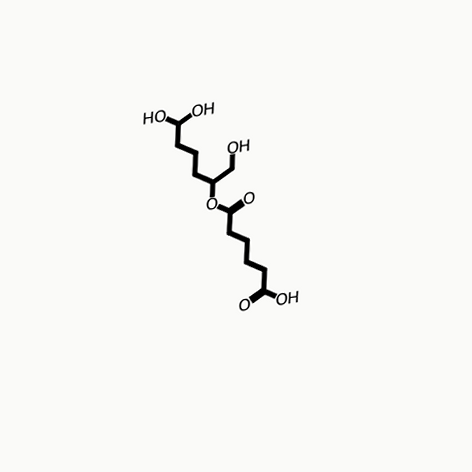 O=C(O)CCCCC(=O)OC(CO)CCCC(O)O